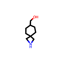 OCC1CCC2(CC1)CNC2